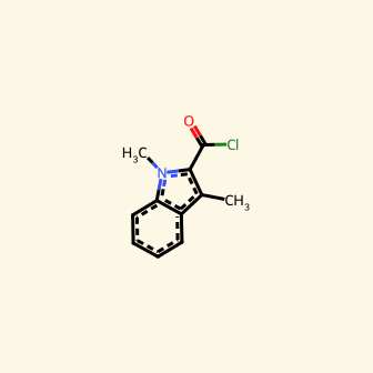 Cc1c(C(=O)Cl)n(C)c2ccccc12